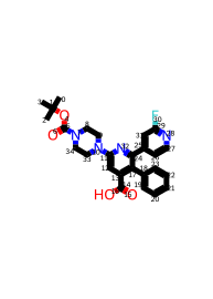 CC(C)(C)OC(=O)N1CCN(c2cc(C(=O)O)c(-c3ccccc3)c(-c3ccnc(F)c3)n2)CC1